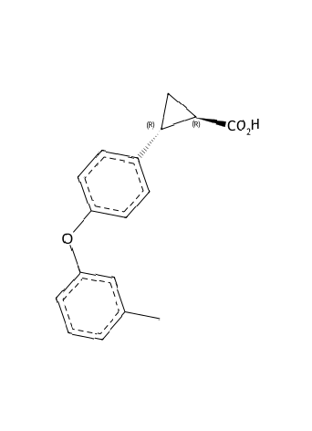 Cc1cccc(Oc2ccc([C@@H]3C[C@H]3C(=O)O)cc2)c1